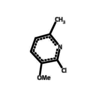 COc1ccc(C)nc1Cl